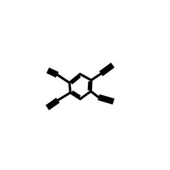 C#Cc1cc(C#C)c(C#C)cc1C#C